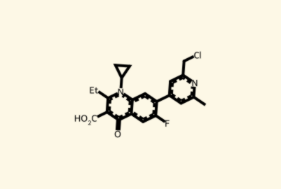 CCc1c(C(=O)O)c(=O)c2cc(F)c(-c3cc(C)nc(CCl)c3)cc2n1C1CC1